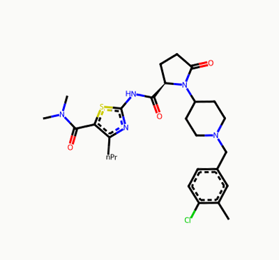 CCCc1nc(NC(=O)[C@H]2CCC(=O)N2C2CCN(Cc3ccc(Cl)c(C)c3)CC2)sc1C(=O)N(C)C